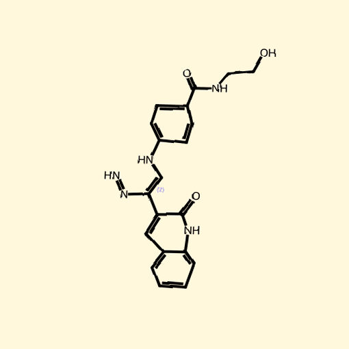 N=N/C(=C\Nc1ccc(C(=O)NCCO)cc1)c1cc2ccccc2[nH]c1=O